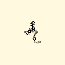 CCOC(=O)C1CCN(CCOC(=O)Nc2nn(-c3cc4c(cc3OC)NCCO4)c3cc(-c4cnn5cccnc45)ncc23)CC1